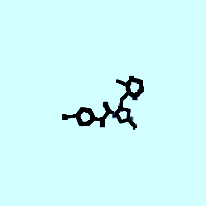 Cc1nccnc1CN1C[C@@H](F)C[C@@H]1C(=O)Nc1ccc(Br)cc1